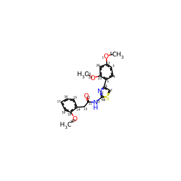 COc1ccc(-c2csc(NC(=O)Cc3ccccc3OC)n2)c(OC)c1